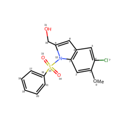 COc1cc2c(cc1Cl)cc(CO)n2S(=O)(=O)c1ccccc1